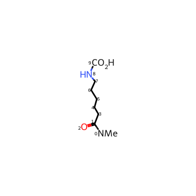 CNC(=O)CCCCCNC(=O)O